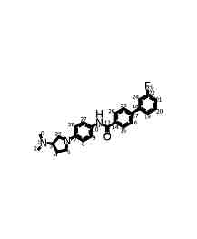 CN(C)C1CCN(c2ccc(NC(=O)c3ccc(-c4cccc(F)c4)cc3)cc2)C1